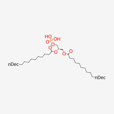 CCCCCCCCCCCCCCCCCCCC(=O)OC[C@H](COP(=O)(O)O)OC(=O)CCCCCCCCCCCCCCCCCCC